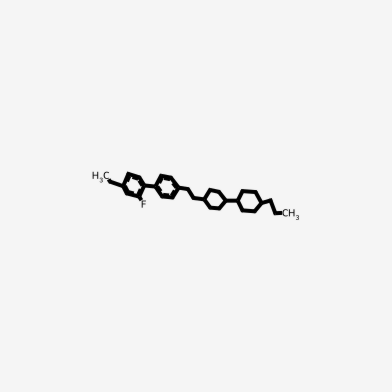 CCCC1CCC(C2CCC(CCc3ccc(-c4ccc(CC)cc4F)cc3)CC2)CC1